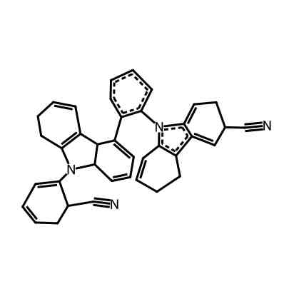 N#CC1C=c2c3c(n(-c4ccccc4C4=CC=CC5C4C4=C(CCC=C4)N5C4=CC=CCC4C#N)c2=CC1)C=CCC3